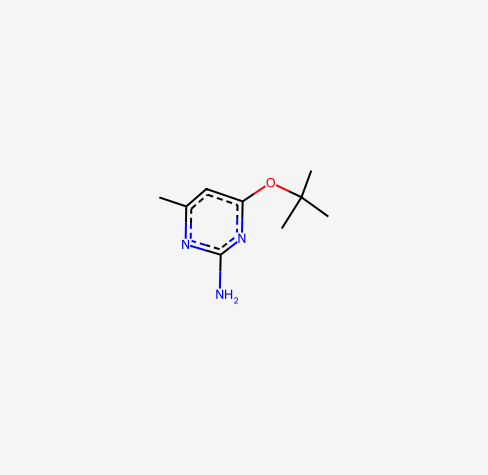 Cc1cc(OC(C)(C)C)nc(N)n1